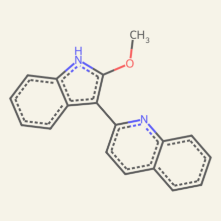 COc1[nH]c2ccccc2c1-c1ccc2ccccc2n1